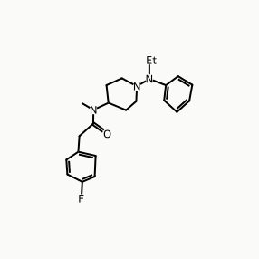 CCN(c1ccccc1)N1CCC(N(C)C(=O)Cc2ccc(F)cc2)CC1